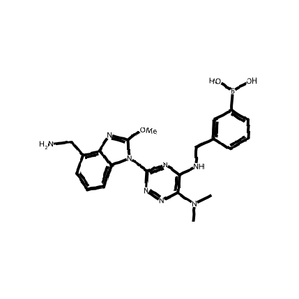 COc1nc2c(CN)cccc2n1-c1nnc(N(C)C)c(NCc2cccc(B(O)O)c2)n1